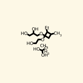 C.CC(O)O.CCC1C(C)CC1(OCCO)OCC(O)CO